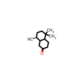 CC1(C)CC[C@H](C#N)C2CC(=O)CCC21